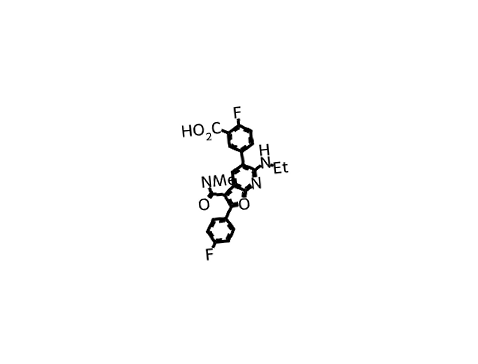 CCNc1nc2oc(-c3ccc(F)cc3)c(C(=O)NC)c2cc1-c1ccc(F)c(C(=O)O)c1